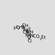 CCOC(=O)CNc1cc(Cl)cnc1OCC(=O)N1C[C@H](C)N(Cc2ccc(F)cc2)C[C@H]1C